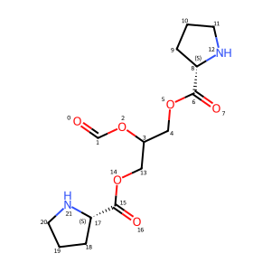 O=COC(COC(=O)[C@@H]1CCCN1)COC(=O)[C@@H]1CCCN1